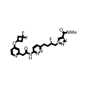 CNC(=O)c1cn(C[C@H](F)CCc2ccc(NC(=O)Cc3cc(OC4CC(F)(F)C4)ccn3)nn2)nn1